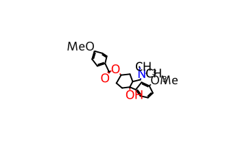 COc1ccc(C(=O)OC2CCC(O)(c3cccc(OC)c3)C(CN(C)C)C2)cc1